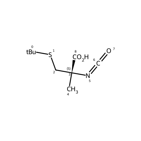 CC(C)(C)SC[C@@](C)(N=C=O)C(=O)O